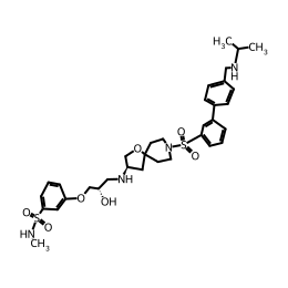 CNS(=O)(=O)c1cccc(OC[C@@H](O)CN[C@H]2COC3(CCN(S(=O)(=O)c4cccc(-c5ccc(CNC(C)C)cc5)c4)CC3)C2)c1